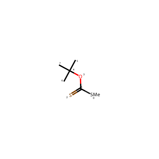 CSC(=S)OC(C)(C)C